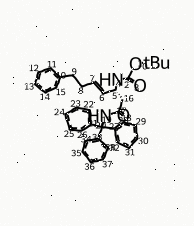 CC(C)(C)OC(=O)N[C@@H](/C=C/CCc1ccccc1)CC(=O)NC(c1ccccc1)(c1ccccc1)c1ccccc1